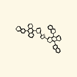 C1=CCC2C(=C1)C(C1C=c3ccccc3=CC1)=C1C=C(C3CC=C(C4=CC=CC(c5c6c(c(-c7ccc8c(c7)=CCCC=8)c7ccccc57)C=CCC6)C4)S3)CCC1=C2c1ccc2ccccc2c1